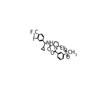 CC[C@@H]1CC[C@H](C(=O)NC(c2ccc(C(F)(F)F)c(F)c2)C2CC2)N1C(=O)c1cccc(S(C)(=O)=O)c1